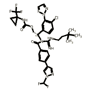 CC(C)(C)CCNC(=N)N(C(=O)c1ccc(-c2cnn(C(F)F)c2)cc1)[C@H](COC(=O)NC1(C(F)(F)F)CC1)c1ccc(Cl)c(-n2nccn2)c1